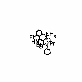 CCNc1c(C(=O)N(c2ccccc2)C(C)C)c(=O)n(C)c2cccc(CC)c12